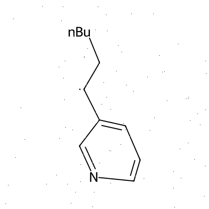 CCCCC[CH]c1cccnc1